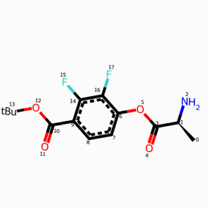 C[C@H](N)C(=O)Oc1ccc(C(=O)OC(C)(C)C)c(F)c1F